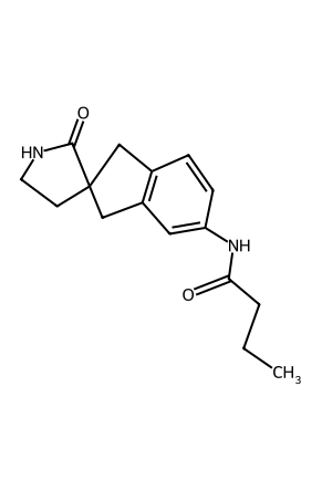 CCCC(=O)Nc1ccc2c(c1)CC1(CCNC1=O)C2